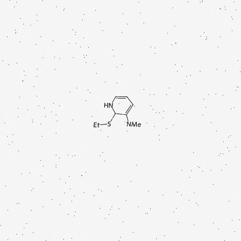 CCSC1NC=CC=C1NC